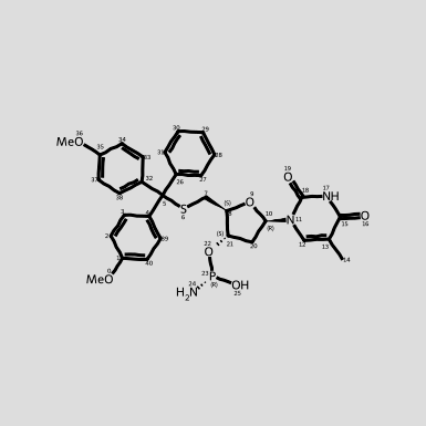 COc1ccc(C(SC[C@H]2O[C@@H](n3cc(C)c(=O)[nH]c3=O)C[C@@H]2O[P@@](N)O)(c2ccccc2)c2ccc(OC)cc2)cc1